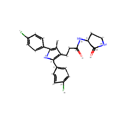 Cc1c(-c2ccc(F)cc2)[nH]c(-c2ccc(F)cc2)c1CCC(=O)NC1CCNC1=O